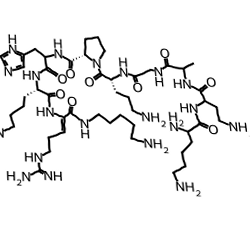 CC(NC(=O)C(CCN)NC(=O)C(N)CCCCN)C(=O)NCC(=O)N[C@H](CCCN)C(=O)N1CCC[C@H]1C(=O)NC(Cc1cnc[nH]1)C(=O)N[C@@H](CCCCN)C(=O)N/C(=C\CCNC(=N)N)C(=O)NCCCCCN